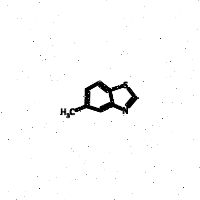 Cc1ccc2s[c]nc2c1